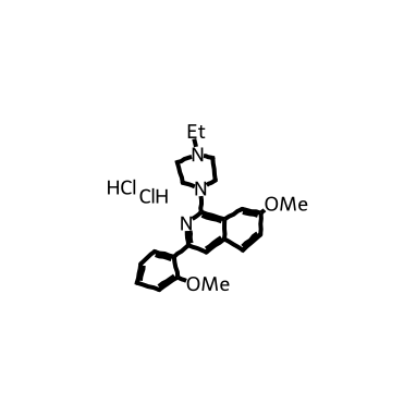 CCN1CCN(c2nc(-c3ccccc3OC)cc3ccc(OC)cc23)CC1.Cl.Cl